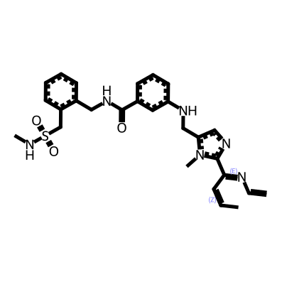 C=C/N=C(\C=C/C)c1ncc(CNc2cccc(C(=O)NCc3ccccc3CS(=O)(=O)NC)c2)n1C